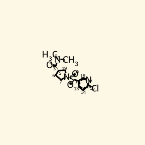 CN(C)C(=O)[C@H]1CCN(S(=O)(=O)c2ccc(Cl)nc2)C1